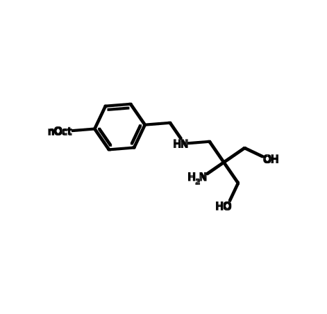 CCCCCCCCc1ccc(CNCC(N)(CO)CO)cc1